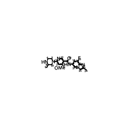 COc1cc(N2CCNC(C)C2)ncc1C(=O)Nc1cc(F)c2nc(C)cn2c1